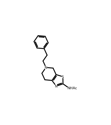 CC(=O)Nc1nc2c(s1)CN(CCc1ccccc1)CC2